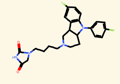 O=C1CN(CCCCN2CCC3C(C2)c2cc(F)ccc2N3c2ccc(F)cc2)C(=O)N1